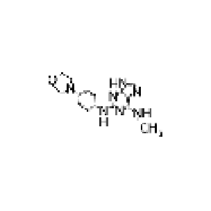 CCNc1nc(Nc2ccc(N3CCOCC3)cc2)nc2[nH]cnc12